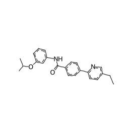 CCc1ccc(-c2ccc(C(=O)Nc3cccc(OC(C)C)c3)cc2)nc1